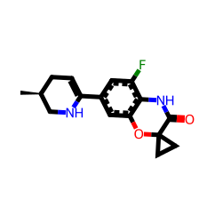 C[C@H]1CC=C(c2cc(F)c3c(c2)OC2(CC2)C(=O)N3)NC1